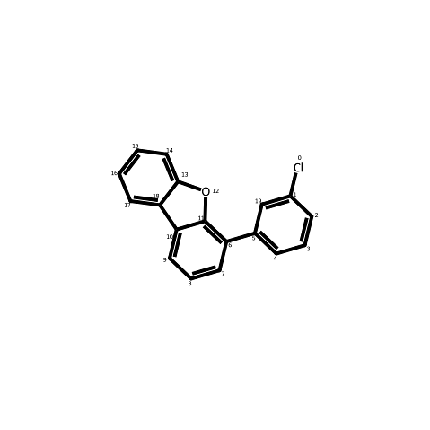 Clc1cccc(-c2cccc3c2oc2ccccc23)c1